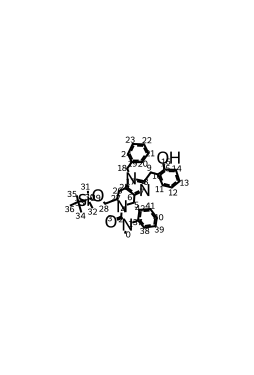 CN(C(=O)N1Cc2nc(Cc3ccccc3O)n(Cc3ccccc3)c2CC1CO[Si](C)(C)C(C)(C)C)c1ccccc1